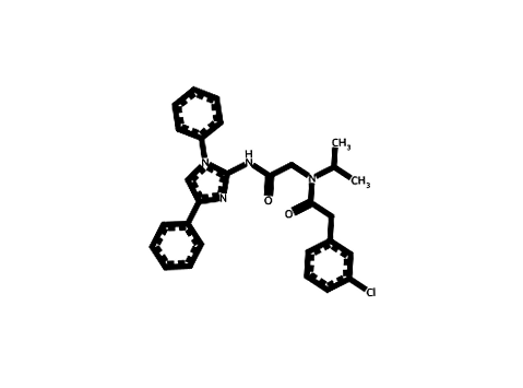 CC(C)N(CC(=O)Nc1nc(-c2ccccc2)cn1-c1ccccc1)C(=O)Cc1cccc(Cl)c1